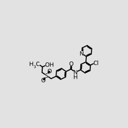 CC(O)CS(=O)(=O)Cc1ccc(C(=O)Nc2ccc(Cl)c(-c3ccccn3)c2)cc1